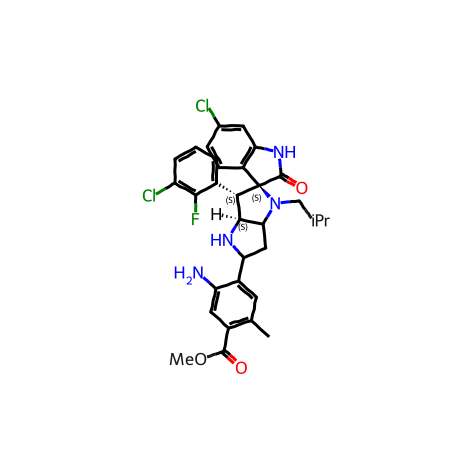 COC(=O)c1cc(N)c(C2CC3[C@@H](N2)[C@H](c2cccc(Cl)c2F)[C@]2(C(=O)Nc4cc(Cl)ccc42)N3CC(C)C)cc1C